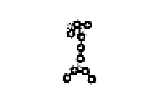 c1ccc(-c2ccc3c(c2)c2cc(-c4ccccc4)ccc2n3-c2ccc(-c3ccc(-c4ccc(-n5c6ccccc6c6ccc7oc8ccccc8c7c65)cc4)cc3)cc2)cc1